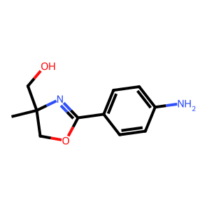 CC1(CO)COC(c2ccc(N)cc2)=N1